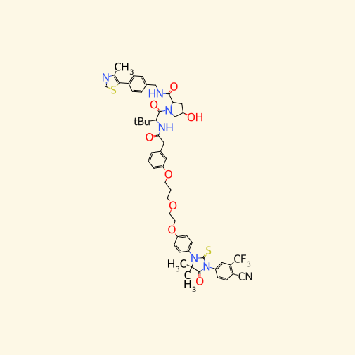 Cc1ncsc1-c1ccc(CNC(=O)C2C[C@@H](O)CN2C(=O)C(NC(=O)Cc2cccc(OCCCOCCOc3ccc(N4C(=S)N(c5ccc(C#N)c(C(F)(F)F)c5)C(=O)C4(C)C)cc3)c2)C(C)(C)C)cc1